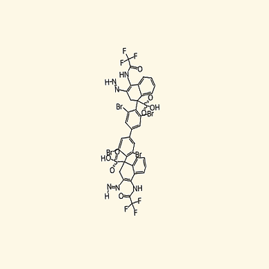 [H]/N=N/C1=C(NC(=O)C(F)(F)F)c2ccccc2C(c2c(Br)cc(-c3cc(Br)c(C4(S(=O)(=O)O)CC(/N=N/[H])=C(NC(=O)C(F)(F)F)c5ccccc54)c(Br)c3)cc2Br)(S(=O)(=O)O)C1